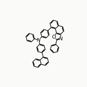 c1ccc(-c2nc3ccc4cccc(-c5ccc(N(c6ccccc6)c6ccc(-c7cccc8ccccc78)cc6)cc5)c4c3o2)cc1